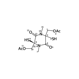 CC(=O)OCC1(S)C(=O)N(C)[C@](S)(COC(C)=O)C(=O)N1C